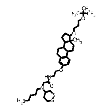 BCCCCN(CC(=O)NCCOc1ccc2c(c1)CCC1C2CCC2(C)C(OCCCOC(C(F)(F)F)(C(F)(F)F)C(F)(F)F)CCC12)C1CCSSC1